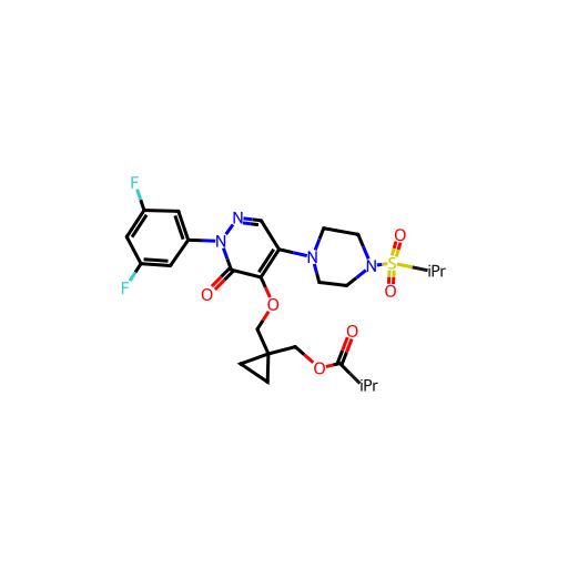 CC(C)C(=O)OCC1(COc2c(N3CCN(S(=O)(=O)C(C)C)CC3)cnn(-c3cc(F)cc(F)c3)c2=O)CC1